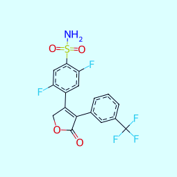 NS(=O)(=O)c1cc(F)c(C2=C(c3cccc(C(F)(F)F)c3)C(=O)OC2)cc1F